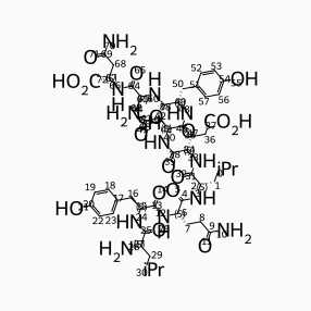 CC(C)C[C@H](NC(=O)[C@H](CCC(N)=O)NC(=O)[C@H](Cc1ccc(O)cc1)NC(=O)[C@@H](N)CC(C)C)C(=O)N[C@@H](CCC(=O)O)C(=O)N[C@@H](CC(N)=O)C(=O)N[C@@H](Cc1ccc(O)cc1)C(=O)N[C@@H](CS)C(=O)N[C@@H](CC(N)=O)C(=O)O